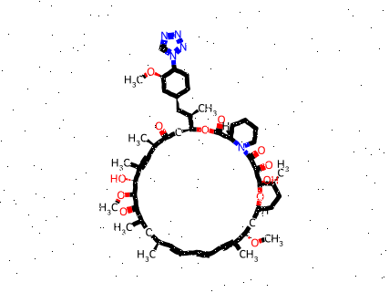 COC1C(=O)C(C)C[C@H](C)/C=C/C=C/C=C(\C)[C@@H](OC)C[C@@H]2CC[C@@H](C)[C@@](O)(O2)C(=O)C(=O)N2CCCC[C@H]2C(=O)O[C@H]([C@H](C)C[C@@H]2CCC(n3cnnn3)[C@H](OC)C2)CC(=O)[C@H](C)/C=C(\C)[C@H]1O